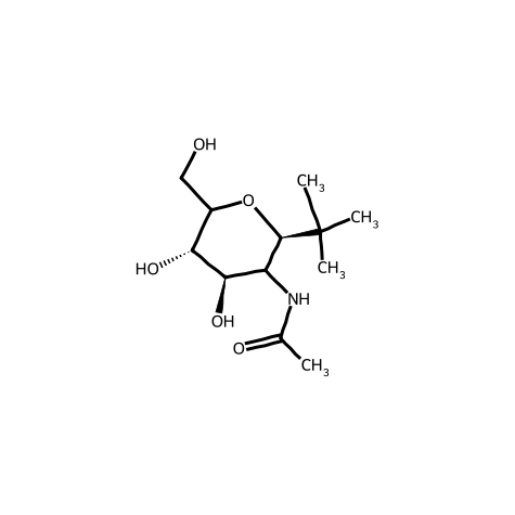 CC(=O)NC1[C@@H](O)[C@H](O)C(CO)O[C@H]1C(C)(C)C